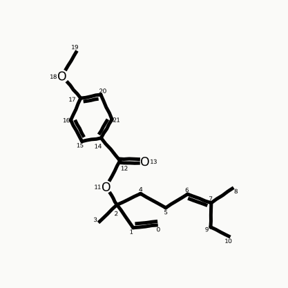 C=CC(C)(CC/C=C(/C)CC)OC(=O)c1ccc(OC)cc1